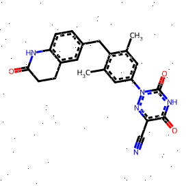 Cc1cc(-n2nc(C#N)c(=O)[nH]c2=O)cc(C)c1Cc1ccc2c(c1)CCC(=O)N2